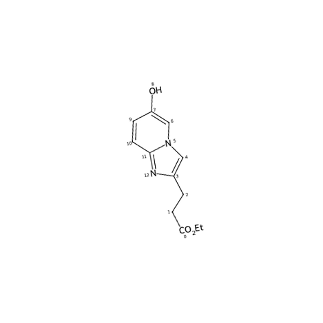 CCOC(=O)CCc1cn2cc(O)ccc2n1